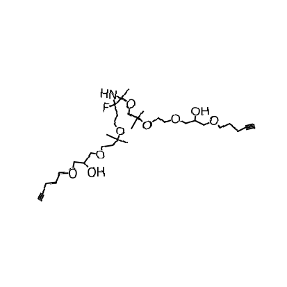 C#CCCCOCC(O)COCCOC(C)(C)COC1(C)NC1(F)CCOC(C)(C)CCOCC(O)COCCCC#C